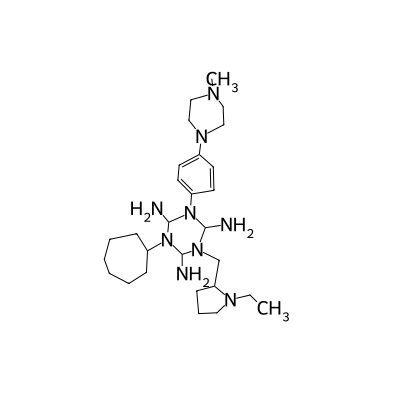 CCN1CCCC1CN1C(N)N(c2ccc(N3CCN(C)CC3)cc2)C(N)N(C2CCCCCC2)C1N